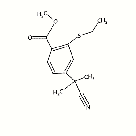 CCSc1cc(C(C)(C)C#N)ccc1C(=O)OC